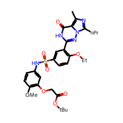 CCCc1nc(C)c2c(=O)[nH]c(-c3cc(S(=O)(=O)Nc4ccc(OC)c(OCC(=O)OC(C)(C)C)c4)ccc3OCC)nn12